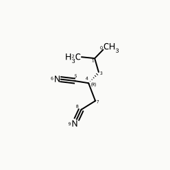 CC(C)C[C@@H](C#N)CC#N